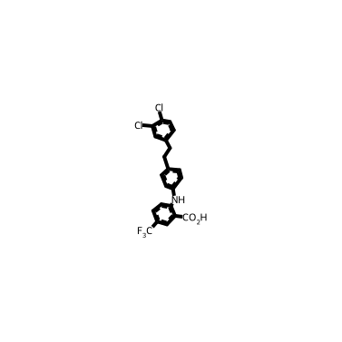 O=C(O)c1cc(C(F)(F)F)ccc1Nc1ccc(CCc2ccc(Cl)c(Cl)c2)cc1